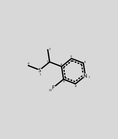 CSC(C)c1ccncc1F